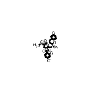 CC(C)N1CC2N(C(=O)C(N(C)C)CN2S(=O)(=O)c2ccc(Cl)cc2Cl)C(Cc2cccc(Cl)c2)C1=O